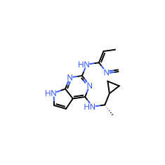 C=N/C(=C\C)Nc1nc(N[C@@H](C)C2CC2)c2cc[nH]c2n1